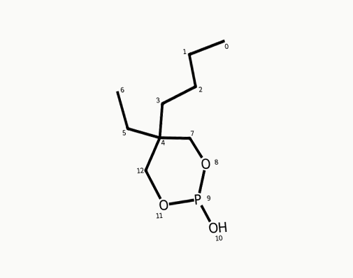 CCCCC1(CC)COP(O)OC1